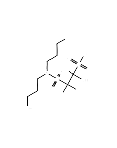 CCCCN(CCCC)S(=O)(=O)C(C)(F)C(C)(C)S(=O)(=O)O